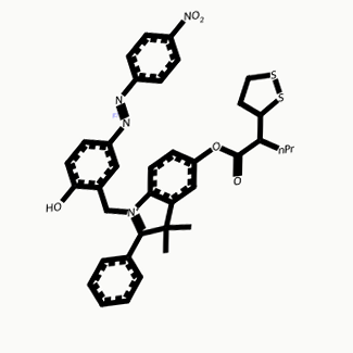 CCCC(C(=O)Oc1ccc2c(c1)C(C)(C)C(c1ccccc1)=[N+]2Cc1cc(/N=N/c2ccc([N+](=O)[O-])cc2)ccc1O)C1CCSS1